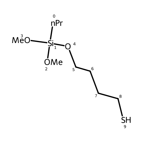 CCC[Si](OC)(OC)OCCCCS